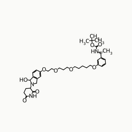 C[C@@H](NC(=O)OC(C)(C)C)c1cccc(OCCCCCOCCCOCCOc2ccc3c(c2)CN(C2CCC(=O)NC2=O)C3O)c1